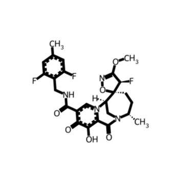 COC1=NO[C@@]2(CC[C@H](C)N3C[C@H]2n2cc(C(=O)NCc4c(F)cc(C)cc4F)c(=O)c(O)c2C3=O)[C@@H]1F